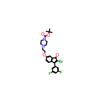 CC(C)(C)OC(=O)N1CCN(CCOc2ccc3c(c2)C(=O)C(Br)=C3c2cc(F)cc(F)c2)CC1